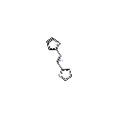 c1cc(/C=C/c2cccs2)sc#1